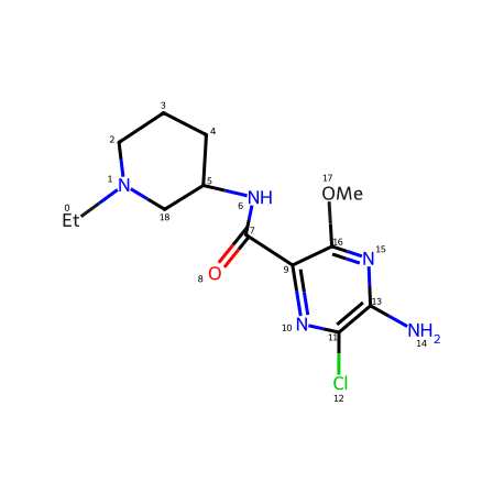 CCN1CCCC(NC(=O)c2nc(Cl)c(N)nc2OC)C1